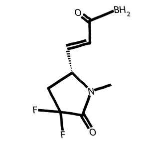 BC(=O)/C=C/[C@H]1CC(F)(F)C(=O)N1C